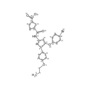 CCCOc1ccc(-c2nc(NC(=O)c3ccc([N+](=O)[O-])s3)sc2Oc2ccc(Br)cc2)cc1